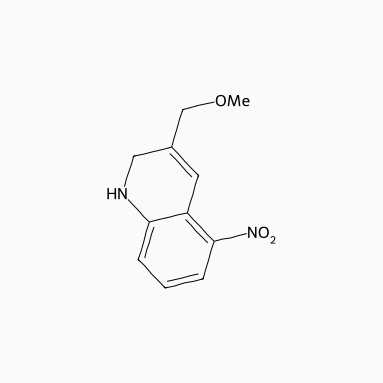 COCC1=Cc2c(cccc2[N+](=O)[O-])NC1